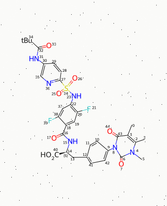 Cc1c(C)n(C)c(=O)n(-c2ccc(C[C@H](NC(=O)c3cc(F)c(NS(=O)(=O)c4ccc(NC(=O)C(C)(C)C)cn4)cc3F)C(=O)O)cc2)c1=O